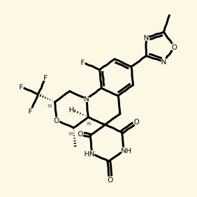 Cc1nc(-c2cc(F)c3c(c2)CC2(C(=O)NC(=O)NC2=O)[C@H]2[C@H](C)O[C@H](C(F)(F)F)CN32)no1